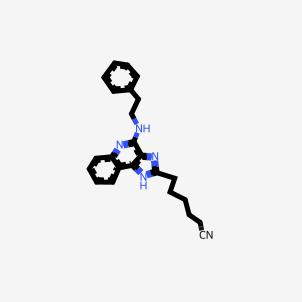 N#CCCCCCc1nc2c(NCCc3ccccc3)nc3ccccc3c2[nH]1